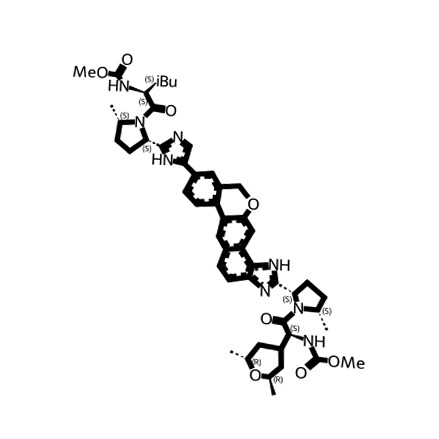 CC[C@H](C)[C@H](NC(=O)OC)C(=O)N1[C@@H](C)CC[C@H]1c1ncc(-c2ccc3c(c2)COc2cc4c(ccc5nc([C@@H]6CC[C@H](C)N6C(=O)[C@@H](NC(=O)OC)C6C[C@@H](C)O[C@H](C)C6)[nH]c54)cc2-3)[nH]1